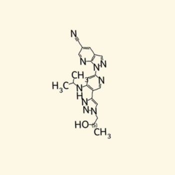 CC(C)Nc1cc(-n2ncc3cc(C#N)cnc32)ncc1-c1cn(C[C@H](C)O)nn1